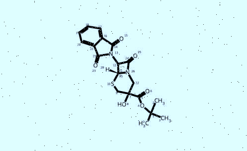 CC(C)(C)OC(=O)C1(O)CS[C@@H]2C(N3C(=O)c4ccccc4C3=O)C(=O)N2C1